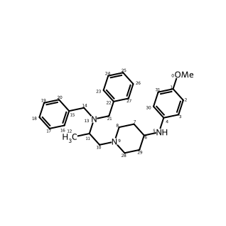 COc1ccc(NC2CCN(CC(C)N(Cc3ccccc3)Cc3ccccc3)CC2)cc1